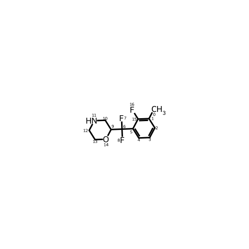 Cc1cccc(C(F)(F)C2CNCCO2)c1F